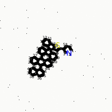 c1cncc(-c2cc3c(s2)-c2ccccc2C32c3ccccc3-c3c(-c4c5ccccc5c(-c5cccc6ccccc56)c5ccccc45)cccc32)c1